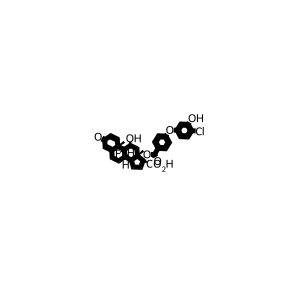 C[C@]12C=CC(=O)C=C1CC[C@H]1[C@@H]3CC[C@](OC(=O)c4ccc(Oc5ccc(Cl)c(O)c5)cc4)(C(=O)O)[C@@]3(C)C[C@H](O)[C@@]12F